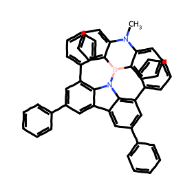 CN1c2ccccc2B(n2c3c(-c4ccccc4)cc(-c4ccccc4)cc3c3cc(-c4ccccc4)cc(-c4ccccc4)c32)c2ccccc21